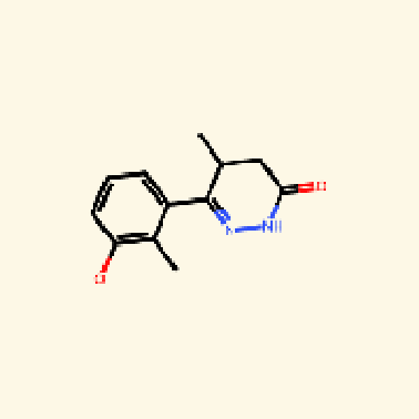 Cc1c([O])cccc1C1=NNC(=O)CC1C